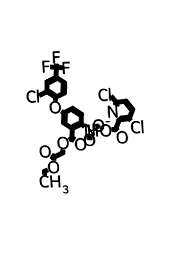 CCOC(=O)COC(=O)c1cc(Oc2ccc(C(F)(F)F)cc2Cl)ccc1[N+](=O)[O-].O=C(O)c1nc(Cl)ccc1Cl